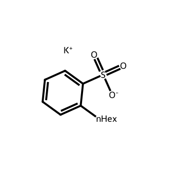 CCCCCCc1ccccc1S(=O)(=O)[O-].[K+]